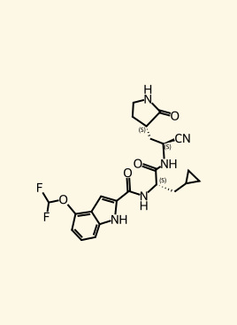 N#C[C@H](C[C@@H]1CCNC1=O)NC(=O)[C@H](CC1CC1)NC(=O)c1cc2c(OC(F)F)cccc2[nH]1